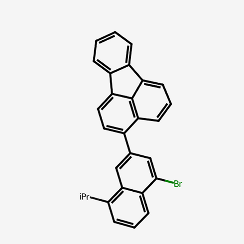 CC(C)c1cccc2c(Br)cc(-c3ccc4c5c(cccc35)-c3ccccc3-4)cc12